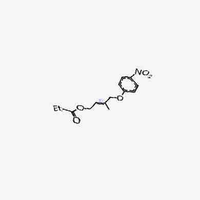 CCC(=O)OC/C=C(\C)COc1ccc([N+](=O)[O-])cc1